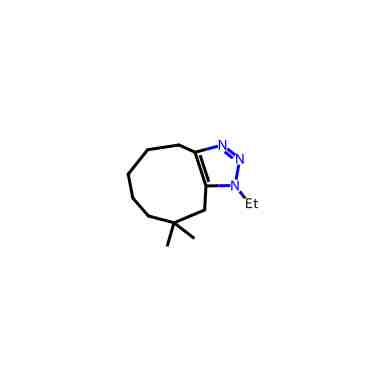 CCn1nnc2c1CC(C)(C)CCCCC2